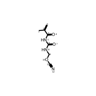 C=C(C)C(=O)NC(=O)NCOC#N